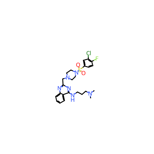 CN(C)CCCNc1nc(CN2CCN(S(=O)(=O)c3ccc(F)c(Cl)c3)CC2)nc2ccccc12